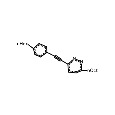 CCCCCCCCc1ccc(C#Cc2ccc(CCCCCC)cc2)nn1